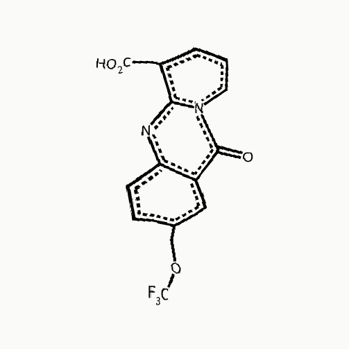 O=C(O)c1cccn2c(=O)c3cc(OC(F)(F)F)ccc3nc12